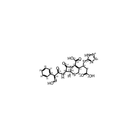 O=C(O)CC(Sc1nnn[nH]1)C1=C(C(=O)O)N2C(=O)C(NC(=O)C(=NO)c3ccccc3)[C@@H]2SC1